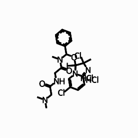 CN(C)CC(=O)NCC(=O)N(C)C(OC1(I)N2C=C(Cl)C=CC2=NC1(C)Cl)c1ccccc1.Cl.Cl